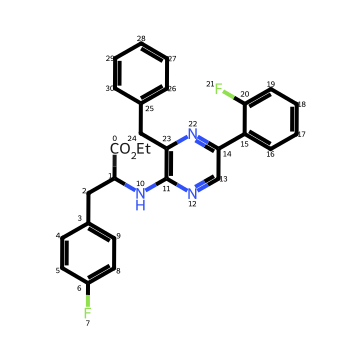 CCOC(=O)C(Cc1ccc(F)cc1)Nc1ncc(-c2ccccc2F)nc1Cc1ccccc1